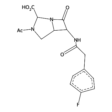 CC(=O)N1CC2C(NC(=O)Cc3ccc(F)cc3)C(=O)N2C1C(=O)O